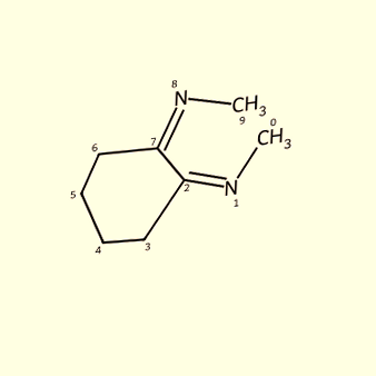 C/N=C1/CCCC/C1=N/C